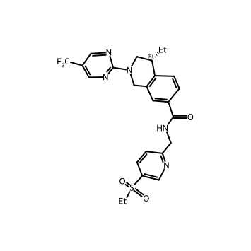 CC[C@H]1CN(c2ncc(C(F)(F)F)cn2)Cc2cc(C(=O)NCc3ccc(S(=O)(=O)CC)cn3)ccc21